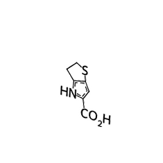 O=C(O)c1cc2c([nH]1)CCS2